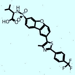 Cc1nc(-c2ccc(C(F)(F)F)cc2)sc1-c1ccc2oc3cc(S(=O)(=O)N[C@H](C(=O)O)C(C)C)ccc3c2c1